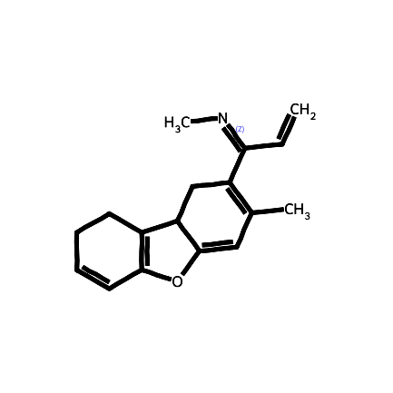 C=C/C(=N/C)C1=C(C)C=C2OC3=C(CCC=C3)C2C1